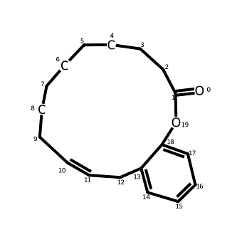 O=C1CCCCCCCCC=CCc2ccccc2O1